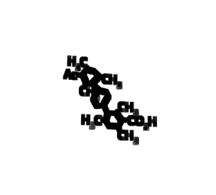 CC(=O)c1c(C)cc(C)c(-c2ccc(-c3c(C)cc(C)c(C(=O)O)c3C)cc2)c1C